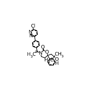 C[C@@H](c1ccc(-c2ccc(Cl)nn2)cc1)N1CCC(CC(C)(C)O)(c2ccccc2)OC1=O